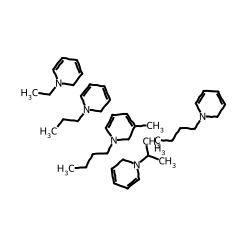 CC(C)N1C=CC=CC1.CCCCN1C=CC=C(C)C1.CCCCN1C=CC=CC1.CCCN1C=CC=CC1.CCN1C=CC=CC1